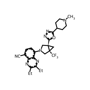 CCc1nc2c(C#N)ccc(N3C[C@]4(c5nnc(C6CCN(C)CC6)o5)C[C@]4(C(F)(F)F)C3)c2nc1CC